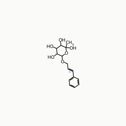 CC1(O)OC(OC/C=C/c2ccccc2)C(O)C(O)C1O